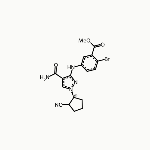 COC(=O)c1cc(Nc2nn([C@H]3CCCC3C#N)cc2C(N)=O)ccc1Br